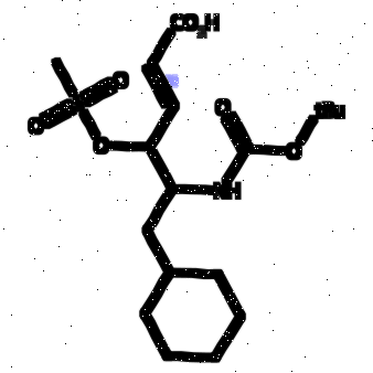 CC(C)(C)OC(=O)NC(CC1CCCCC1)C(/C=C/C(=O)O)OS(C)(=O)=O